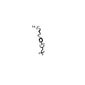 CCCCOc1ccc(C2OCC(CCC(F)(F)F)CO2)cc1